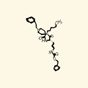 CCCCCN1C(=O)[C@H](CCCNC(=O)OCc2ccccc2)NC(=O)C12CCN(CCc1ccccc1)CC2